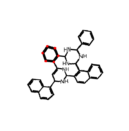 C1=C(c2ccccc2)NC(c2ccc3ccccc3c2C2NC(c3ccccc3)NC(c3ccccc3)N2)NC1c1cccc2ccccc12